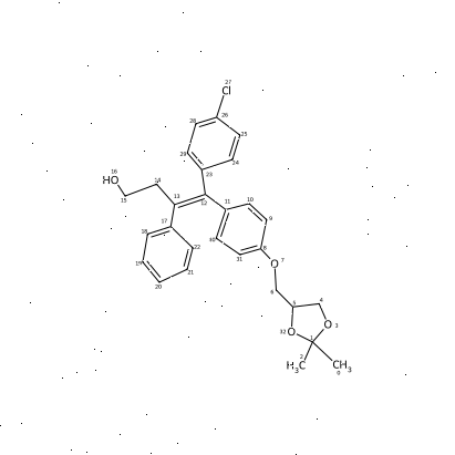 CC1(C)OCC(COc2ccc(C(=C(CCO)c3ccccc3)c3ccc(Cl)cc3)cc2)O1